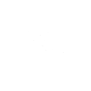 CCC(C)(C)C(=O)NC(C)(C)CS(=O)(=O)O